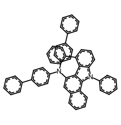 c1ccc(-c2ccc(N(c3ccc(-c4ccccc4)cc3)c3cc4ccccc4c4c3c3c(-c5ccccc5)cccc3n4-c3ccccc3)cc2)cc1